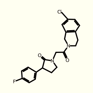 O=C(CN1CCC(c2ccc(F)cc2)C1=O)N1CCc2ccc(Cl)cc2C1